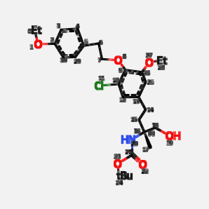 CCOc1ccc(CCOc2c(Cl)cc(CC[C@](C)(CO)NC(=O)OC(C)(C)C)cc2OCC)cc1